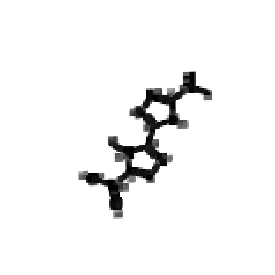 CNc1nnc(-c2ncc([N+](=O)[O-])n2C)s1